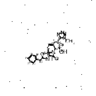 Cn1nnnc1SCC1=CS[C@@H]2[C@H](NC(=O)Cc3ccccc3)C(=O)N2[C@H]1C(=O)O